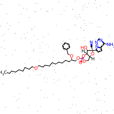 CCCCCCCCCOCCCCCCCCCC[C@H](COP1(=O)OC[C@H]2O[C@@](C#N)(c3ccc4c(N)ncnn34)C(O)[C@H]2O1)OCc1ccccc1